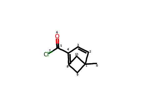 CC12C=CC(C(=O)Cl)=C(C1)C2